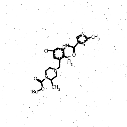 Cc1ncc(C(=O)Nc2cc(Cl)cc(CN3CCN(C(=O)OC(C)(C)C)C(C)C3)c2C)s1